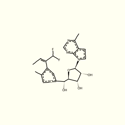 C/C=C(\c1cc([C@@H](O)[C@H]2O[C@@H](n3ccc4c(C)ncnc43)[C@H](O)[C@@H]2O)ccc1C)C(F)F